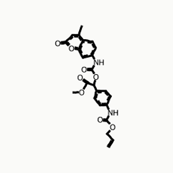 C=CCOC(=O)Nc1ccc(C(OC(=O)Nc2ccc3c(C)cc(=O)oc3c2)C(=O)OC)cc1